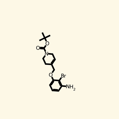 CC(C)(C)OC(=O)N1CC=C(COc2cccc(N)c2Br)CC1